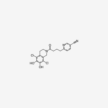 N#Cc1ccc(CCCC(=O)N2CCc3c(Cl)c(O)c(O)c(Cl)c3C2)nc1